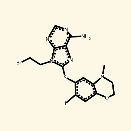 CN1CCOc2cc(I)c(Sc3nc4c(N)ncnc4n3CCBr)cc21